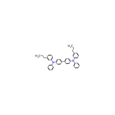 CCCc1cccc(N(c2ccccc2)c2ccc(-c3ccc(N(c4ccccc4)c4cccc(CCC)c4)cc3)cc2)c1